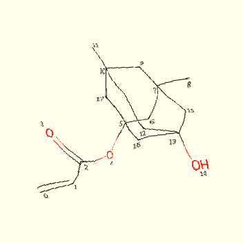 C=CC(=O)OC12CC3(C)CC(C)(CC(O)(C3)C1)C2